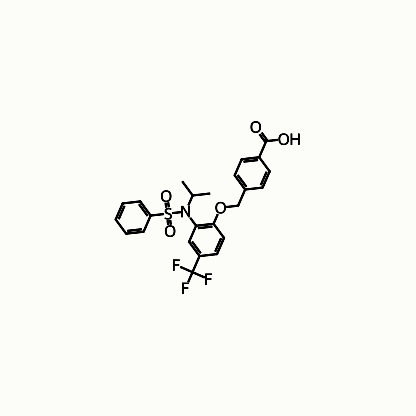 CC(C)N(c1cc(C(F)(F)F)ccc1OCc1ccc(C(=O)O)cc1)S(=O)(=O)c1ccccc1